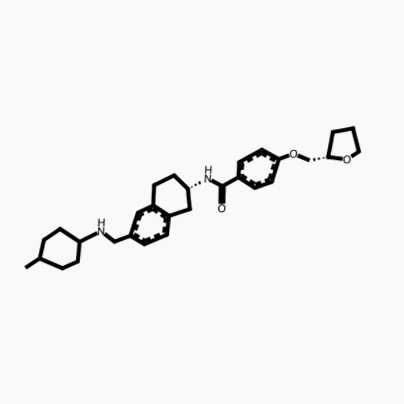 CC1CCC(NCc2ccc3c(c2)CC[C@H](NC(=O)c2ccc(OC[C@@H]4CCCO4)cc2)C3)CC1